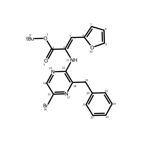 CC(C)(C)OC(=O)/C(=C/c1ccco1)Nc1ncc(Br)nc1Cc1ccccc1